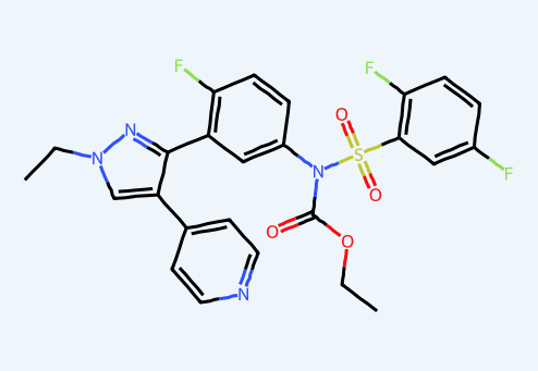 CCOC(=O)N(c1ccc(F)c(-c2nn(CC)cc2-c2ccncc2)c1)S(=O)(=O)c1cc(F)ccc1F